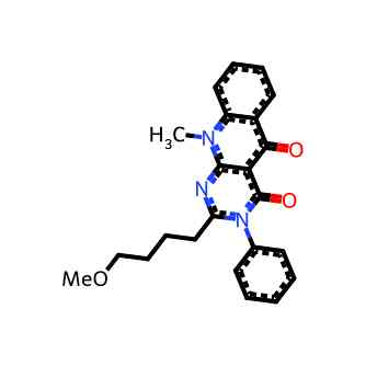 COCCCCc1nc2c(c(=O)c3ccccc3n2C)c(=O)n1-c1ccccc1